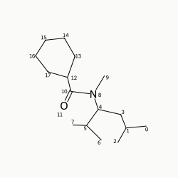 CC(C)CC(C(C)C)N(C)C(=O)C1CCCCC1